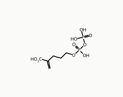 C=C(CCCOP(=O)(O)OP(=O)(O)O)C(=O)O